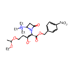 CCOC(C)OCC/C([O-])=C(/C(=O)OCc1ccc([N+](=O)[O-])cc1)N1C(=O)CC1[N+](CC)(CC)CC